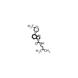 CC(C)CCNC(=O)n1cnc2c(N3CCOC(C)C3)cccc21